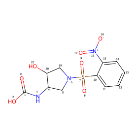 O=C(O)NC1CN(S(=O)(=O)c2ccccc2[N+](=O)[O-])CC1O